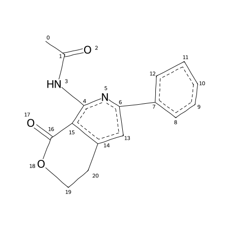 CC(=O)Nc1nc(-c2ccccc2)cc2c1C(=O)OCC2